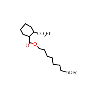 CCCCCCCCCCCCCCCCCOC(=O)C1CCCCC1C(=O)OCC